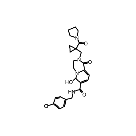 O=C(NCc1ccc(Cl)cc1)C1=CC=C2C(=O)N(CC3(C(=O)N4CCCC4)CC3)CCN2C1O